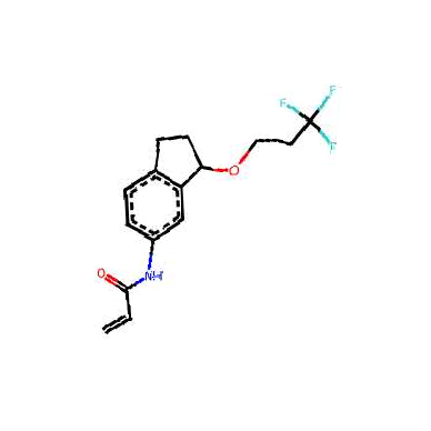 C=CC(=O)Nc1ccc2c(c1)C(OCCC(F)(F)F)CC2